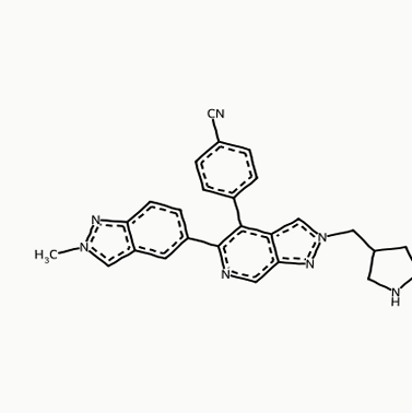 Cn1cc2cc(-c3ncc4nn(CC5CCNC5)cc4c3-c3ccc(C#N)cc3)ccc2n1